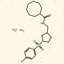 O=C(NCC1CCN(S(=O)(=O)c2ccc(F)cc2)C1)[C]1CCCCCCC1.[CH2].[CH2]